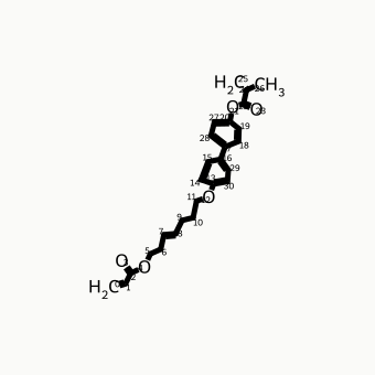 C=CC(=O)OCC/C=C/CCCOc1ccc(-c2ccc(OC(=O)C(=C)C)cc2)cc1